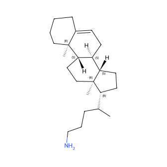 CC(CCCN)[C@H]1CC[C@H]2[C@@H]3CC=C4CCCC[C@]4(C)[C@H]3CC[C@]12C